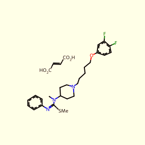 CSC(=Nc1ccccc1)N(C)C1CCN(CCCCCOc2ccc(F)c(F)c2)CC1.O=C(O)C=CC(=O)O